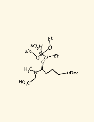 CCCCCCCCCCCCCC(=O)N(C)CC(=O)O.CCO[Si](OCC)(OCC)S(=O)(=O)O